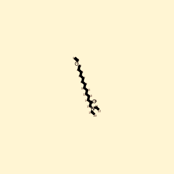 C=COCCCCCCCCCCCCC(=O)CN(CC)CC